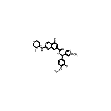 COc1ccc(C(NC(=O)c2cc(F)c3cnc(N[C@@H]4CCOC[C@@H]4F)nc3c2)c2cnn(C)c2)cc1F